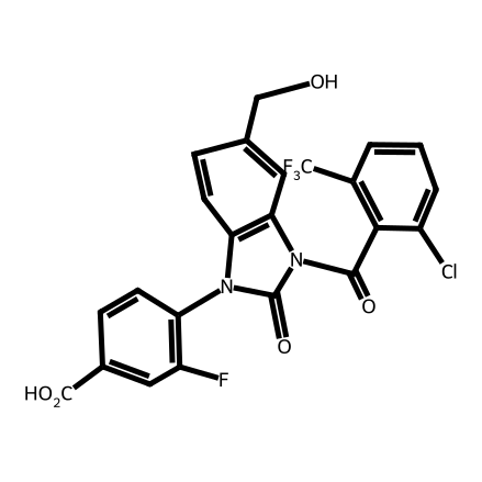 O=C(O)c1ccc(-n2c(=O)n(C(=O)c3c(Cl)cccc3C(F)(F)F)c3cc(CO)ccc32)c(F)c1